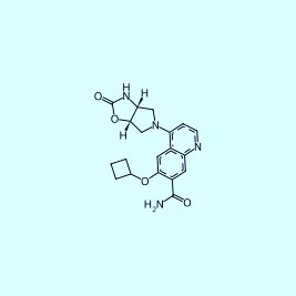 NC(=O)c1cc2nccc(N3C[C@@H]4OC(=O)N[C@@H]4C3)c2cc1OC1CCC1